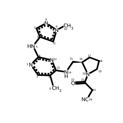 Cc1cnc(Nc2cnn(C)c2)nc1NC[C@H]1CCCN1C(=O)CC#N